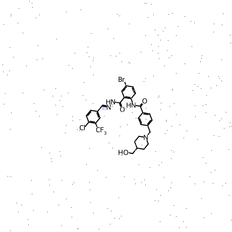 O=C(Nc1ccc(Br)cc1C(=O)N/N=C/c1ccc(Cl)c(C(F)(F)F)c1)c1ccc(CN2CCC(CO)CC2)cc1